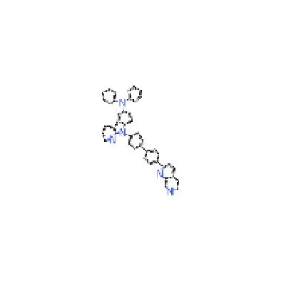 c1ccc(N(c2ccccc2)c2ccc3c(c2)c2cccnc2n3-c2ccc(-c3ccc(-c4ccc5ccncc5n4)cc3)cc2)cc1